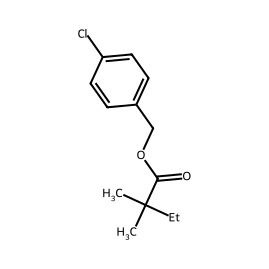 CCC(C)(C)C(=O)OCc1ccc(Cl)cc1